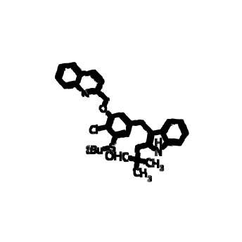 CC(C)(C=O)Cc1[nH]c2ccccc2c1Cc1cc(OCc2ccc3ccccc3n2)c(Cl)c(SC(C)(C)C)c1